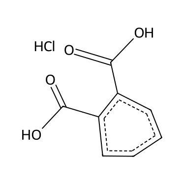 Cl.O=C(O)c1ccccc1C(=O)O